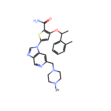 Cc1ccccc1C(C)Oc1cc(-n2cnc3cnc(CN4CCN(C(C)C)CC4)cc32)sc1C(N)=O